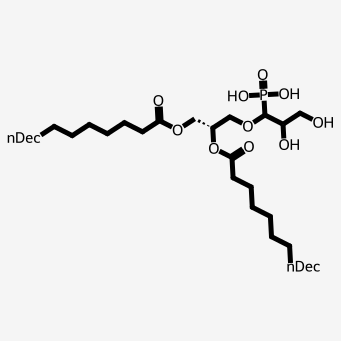 CCCCCCCCCCCCCCCCC(=O)OC[C@H](COC(C(O)CO)P(=O)(O)O)OC(=O)CCCCCCCCCCCCCCCC